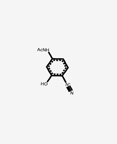 CC(=O)Nc1ccc([N+]#N)c(O)c1